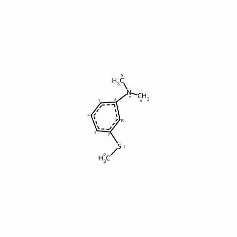 CSc1[c]ccc(N(C)C)c1